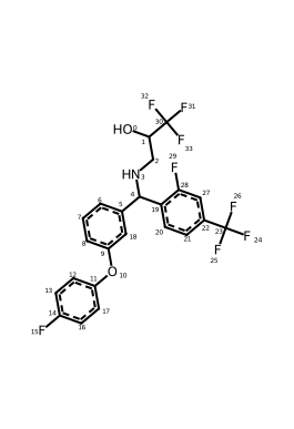 OC(CNC(c1cccc(Oc2ccc(F)cc2)c1)c1ccc(C(F)(F)F)cc1F)C(F)(F)F